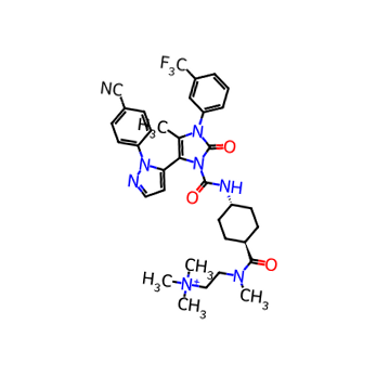 Cc1c(-c2ccnn2-c2ccc(C#N)cc2)n(C(=O)N[C@H]2CC[C@H](C(=O)N(C)CC[N+](C)(C)C)CC2)c(=O)n1-c1cccc(C(F)(F)F)c1